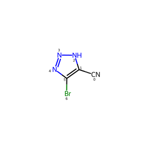 N#Cc1[nH]nnc1Br